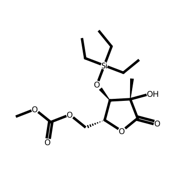 CC[Si](CC)(CC)O[C@@H]1[C@@H](COC(=O)OC)OC(=O)[C@@]1(C)O